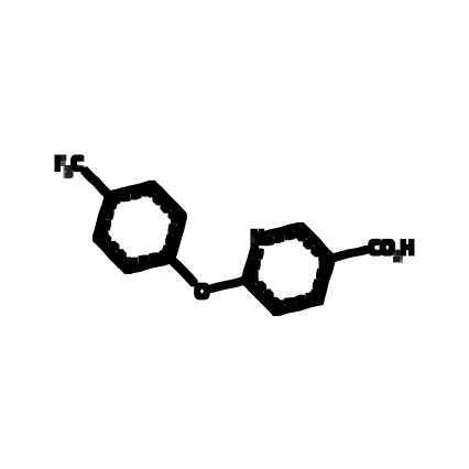 O=C(O)c1ccc(Oc2ccc(C(F)(F)F)cc2)nc1